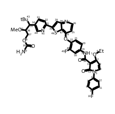 CCOc1ccn(-c2ccc(F)cc2)c(=O)c1C(=O)Nc1ccc(Oc2ccnc3cc(-c4ccc(C(C(COC(N)=O)OC)C(C)(C)C)cn4)sc23)c(F)c1